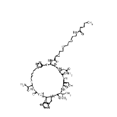 CCCCC(=O)NCCOCCOCCOCC(=O)NC1Cc2cn(nn2)CCCCC(C(N)=O)NC(=O)CNC(=O)C(Cc2c[nH]cn2)NC(=O)C(C(C)C)NC(=O)C(CO)NC(=O)C(CC(N)=O)NC1=O